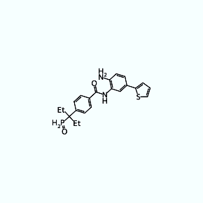 CCC(CC)([PH2]=O)c1ccc(C(=O)Nc2cc(-c3cccs3)ccc2N)cc1